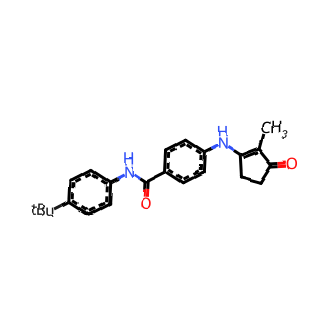 CC1=C(Nc2ccc(C(=O)Nc3ccc(C(C)(C)C)cc3)cc2)CCC1=O